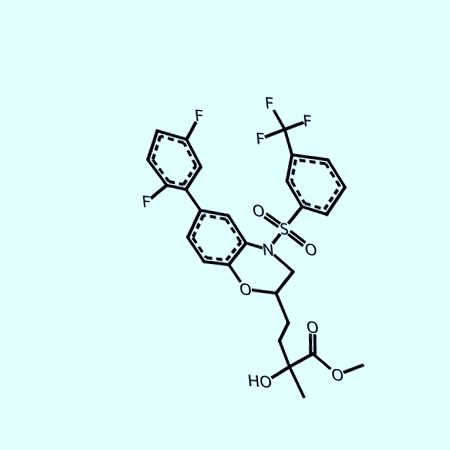 COC(=O)C(C)(O)CCC1CN(S(=O)(=O)c2cccc(C(F)(F)F)c2)c2cc(-c3cc(F)ccc3F)ccc2O1